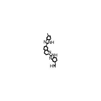 Cc1ccc2[nH]c(-c3ccc4ccc(-c5nc6cc(C=N)ccc6[nH]5)nc4c3)nc2c1